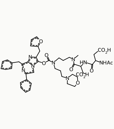 CC(=O)NC(CC(=O)O)C(=O)NC(CC(=O)O)C(=O)N(C)CCCN(CCCN1CCOCC1)C(=O)Oc1c(Cc2ccco2)nc2c(Cc3ccccc3)nc(-c3ccccc3)cn12